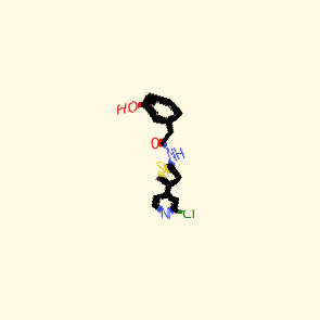 O=C(Cc1cccc(O)c1)Nc1cc(-c2ccnc(Cl)c2)cs1